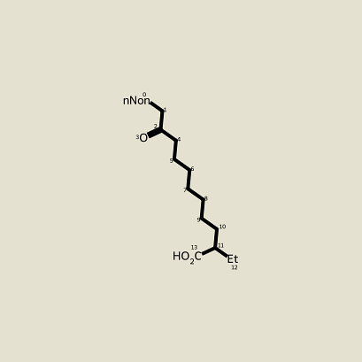 CCCCCCCCCCC(=O)CCCCCCCC(CC)C(=O)O